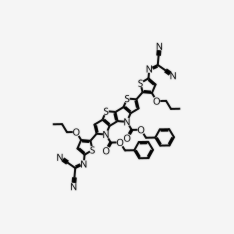 CCCOc1cc(N=C(C#N)C#N)sc1-c1cc2c(s1)c1sc3cc(-c4sc(N=C(C#N)C#N)cc4OCCC)n(C(=O)OCc4ccccc4)c3c1n2C(=O)OCc1ccccc1